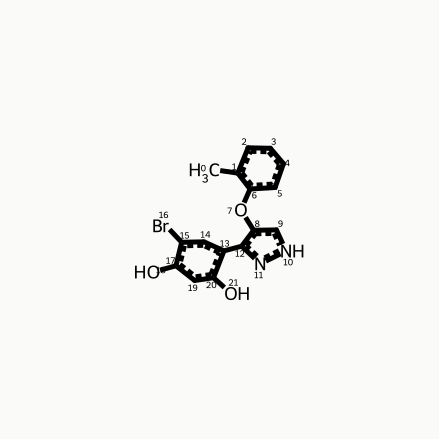 Cc1ccccc1Oc1c[nH]nc1-c1cc(Br)c(O)cc1O